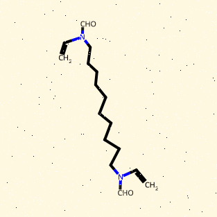 C=CN(C=O)CCCCCCCCCCN(C=C)C=O